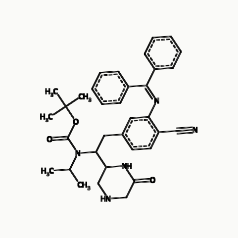 CC(C)N(C(=O)OC(C)(C)C)C(Cc1ccc(C#N)c(N=C(c2ccccc2)c2ccccc2)c1)C1CNCC(=O)N1